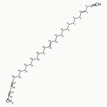 C#CCC=CCCCCCCCCCC=CCCCCCCCCCCCC#CC#CC